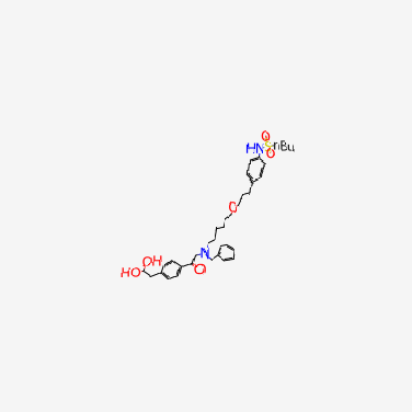 CCCCS(=O)(=O)Nc1ccc(CCCOCCCCCCN(CC(=O)c2ccc(CC(O)O)cc2)Cc2ccccc2)cc1